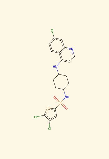 O=S(=O)(NC1CCC(Nc2ccnc3cc(Cl)ccc23)CC1)c1cc(Cl)c(Cl)s1